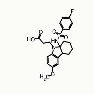 COc1ccc2c(c1)C1CCCCC1(NS(=O)(=O)c1ccc(F)cc1)N2CCC(=O)O